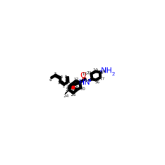 C=C(/C=C\C=C/C)[C@]12CC3CC(C(=O)NC4CCC(N)CC4)(C[C@](C)(C3)C1)C2